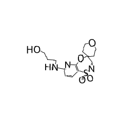 O=S1(=O)N=CC2(CCOCC2)Oc2nc(NCCCO)ccc21